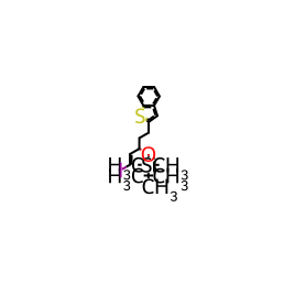 CC(C)(C)[Si](C)(C)OC(/C=C/I)CCc1cc2ccccc2s1